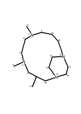 CC1CN(C)CCN(C)CCCN2CCN(CC2)C1